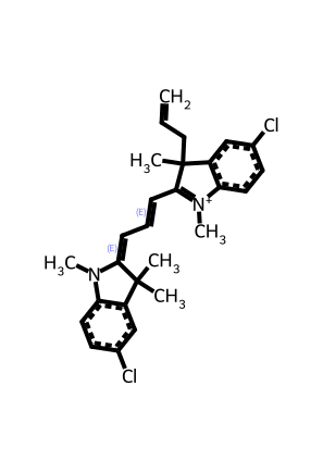 C=CCC1(C)C(/C=C/C=C2/N(C)c3ccc(Cl)cc3C2(C)C)=[N+](C)c2ccc(Cl)cc21